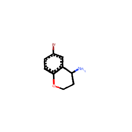 NC1CCOc2ccc(Br)cc21